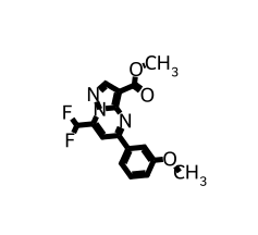 COC(=O)c1cnn2c(C(F)F)cc(-c3cccc(OC)c3)nc12